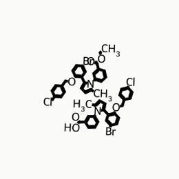 CCOC(=O)c1cccc(-n2c(C)ccc2-c2cc(Br)ccc2OCc2ccc(Cl)cc2)c1.Cc1ccc(-c2cc(Br)ccc2OCc2ccc(Cl)cc2)n1-c1cccc(C(=O)O)c1